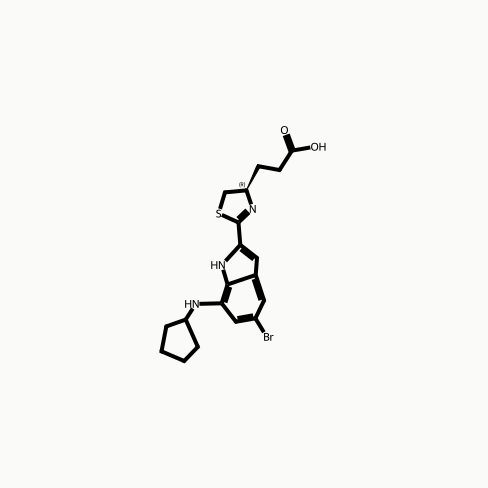 O=C(O)CC[C@@H]1CSC(c2cc3cc(Br)cc(NC4CCCC4)c3[nH]2)=N1